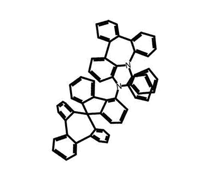 c1ccc(N(c2cccc3c2-c2ccccc2C32c3ccccc3-c3ccccc3-c3ccccc32)c2cccc3c2N(c2ccccc2)c2ccccc2-c2ccccc2-3)cc1